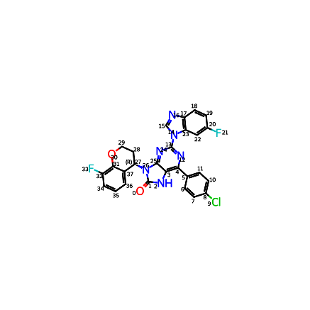 O=c1[nH]c2c(-c3ccc(Cl)cc3)nc(-n3cnc4ccc(F)cc43)nc2n1[C@@H]1CCOc2c(F)cccc21